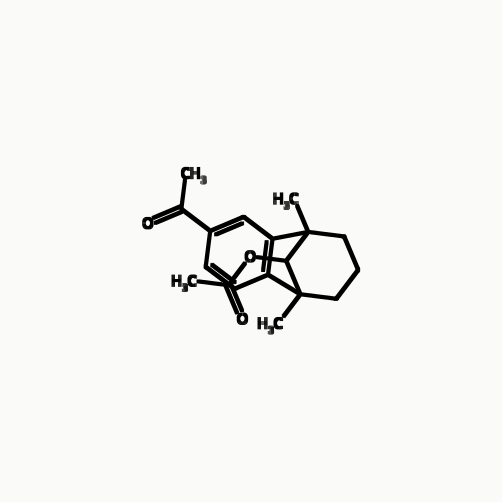 CC(=O)OC1C2(C)CCCC1(C)c1cc(C(C)=O)ccc12